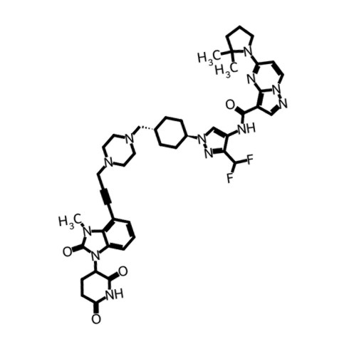 Cn1c(=O)n(C2CCC(=O)NC2=O)c2cccc(C#CCN3CCN(C[C@H]4CC[C@H](n5cc(NC(=O)c6cnn7ccc(N8CCCC8(C)C)nc67)c(C(F)F)n5)CC4)CC3)c21